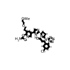 COCCOCCc1cc(-c2cnc([C@@H]3CCc4nc(-c5cc(Cl)ccc5-n5cnnn5)cc(=O)n43)[nH]2)cnc1OC(N)=O